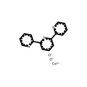 [Cl-].[Cl-].[Co+2].c1ccc(-c2cccc(-c3ccccn3)n2)nc1